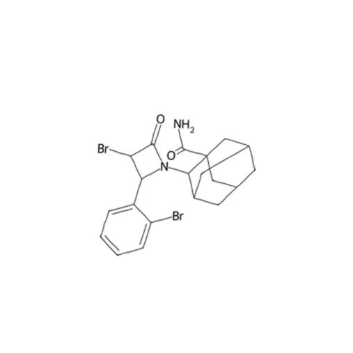 NC(=O)C12CC3CC(CC(C3)C1N1C(=O)C(Br)C1c1ccccc1Br)C2